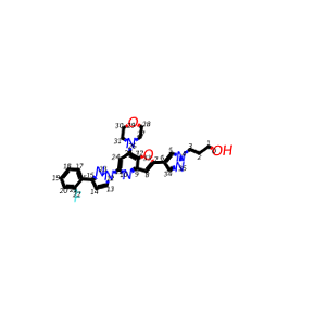 OCCCn1cc(-c2cc3nc(-n4ccc(-c5ccccc5F)n4)cc(N4CCOCC4)c3o2)cn1